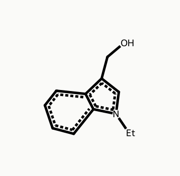 CCn1cc(CO)c2ccccc21